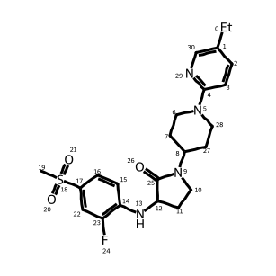 CCc1ccc(N2CCC(N3CCC(Nc4ccc(S(C)(=O)=O)cc4F)C3=O)CC2)nc1